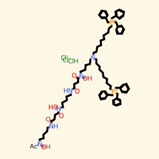 CC(=O)N(O)CCCCCNC(=O)CCC(=O)N(O)CCCCCNC(=O)CCC(=O)N(O)CCCCCN(CCCCCCCCCC[P+](Cc1ccccc1)(Cc1ccccc1)Cc1ccccc1)CCCCCCCCCC[P+](Cc1ccccc1)(Cc1ccccc1)Cc1ccccc1.Cl.[Cl-].[Cl-]